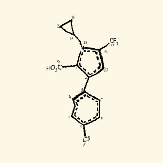 O=C(O)c1c(-c2ccc(Cl)cc2)cc(C(F)(F)F)n1C1CC1